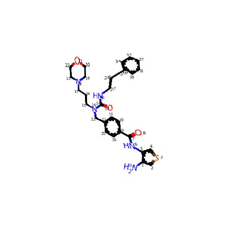 Nc1cscc1NC(=O)c1ccc(CN(CCCN2CCOCC2)C(=O)NCCc2ccccc2)cc1